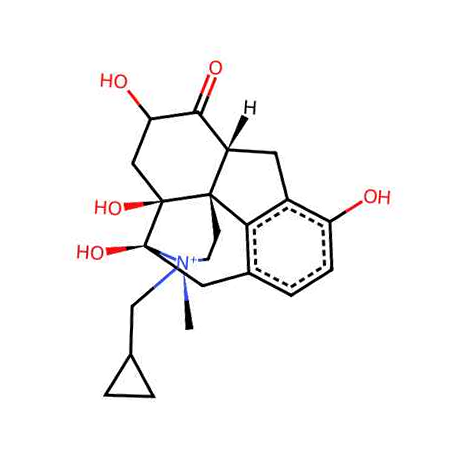 C[N@+]1(CC2CC2)CC[C@]23c4c5ccc(O)c4C[C@H]2C(=O)C(O)C[C@@]3(O)[C@@]1(O)C5